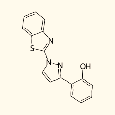 Oc1ccccc1-c1ccn(-c2nc3ccccc3s2)n1